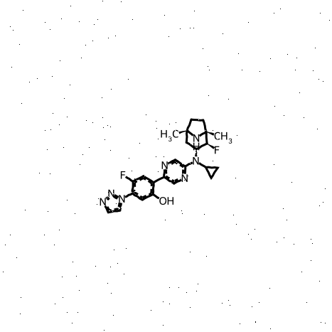 C[C@@]12CC[C@@](C)(N1)[C@@H](F)[C@@H](N(c1cnc(-c3cc(F)c(-n4ccnn4)cc3O)cn1)C1CC1)C2